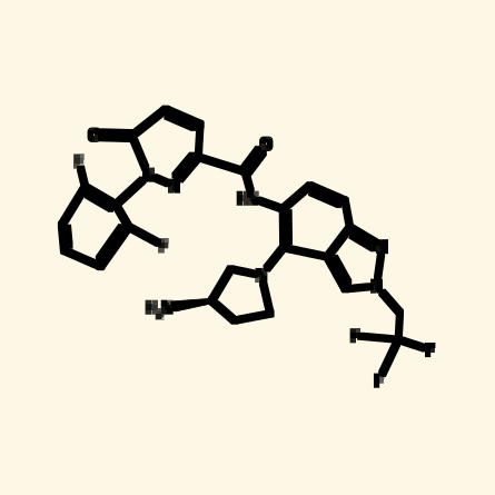 N[C@@H]1CCN(c2c(NC(=O)c3ccc(=O)n(-c4c(F)cccc4F)n3)ccc3nn(CC(F)(F)F)cc23)C1